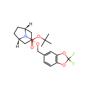 CC(C)(C)OC(=O)N1[C@@H]2CC[C@H]1C[C@@H](OCc1ccc3c(c1)OC(F)(F)O3)C2